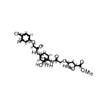 COC(=O)C1CC(OCC(=O)NC23CCC(NC(=O)COc4ccc(Cl)c(F)c4)(CC2)C[C@@H]3O)NO1